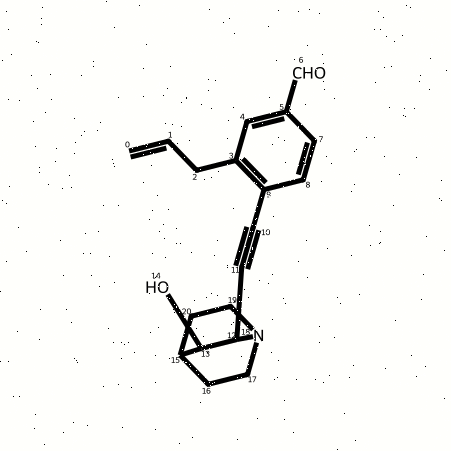 C=CCc1cc(C=O)ccc1C#CC1C(O)C2CCN1CC2